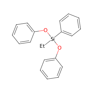 CC[Si](Oc1ccccc1)(Oc1ccccc1)c1ccccc1